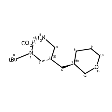 CC(C)(C)N(C[C@H](CN)C[C@H]1CCCOC1)C(=O)O